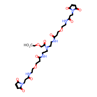 O=C(O)COCC(=O)N(CCNC(=O)CCOCCNC(=O)CCN1C(=O)C=CC1=O)CCNC(=O)CCOCCNC(=O)CCN1C(=O)C=CC1=O